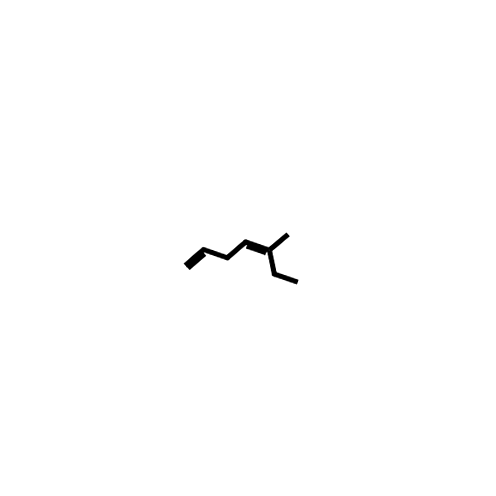 C=CCC=C(C)CC